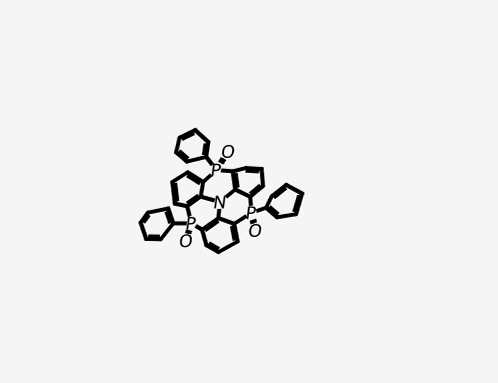 O=P1(c2ccccc2)c2cccc3c2N2c4c1cccc4P(=O)(c1ccccc1)c1cccc(c12)P3(=O)c1ccccc1